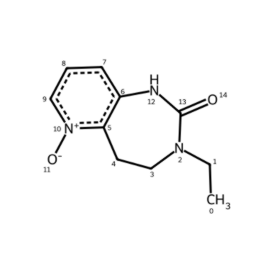 CCN1CCc2c(ccc[n+]2[O-])NC1=O